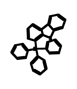 c1ccc([Si](c2ccccc2)(c2ccccc2)c2cccc3c2sc2ccccc23)cc1